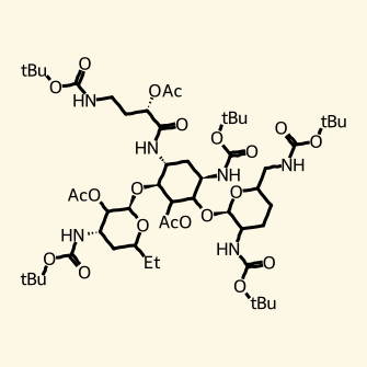 CCC1C[C@H](NC(=O)OC(C)(C)C)C(OC(C)=O)[C@@H](O[C@@H]2C(OC(C)=O)C(O[C@H]3OC(CNC(=O)OC(C)(C)C)CCC3NC(=O)OC(C)(C)C)[C@H](NC(=O)OC(C)(C)C)C[C@H]2NC(=O)[C@H](CCNC(=O)OC(C)(C)C)OC(C)=O)O1